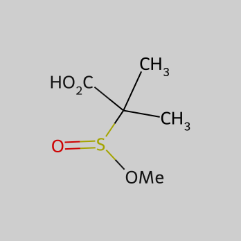 COS(=O)C(C)(C)C(=O)O